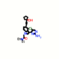 CCN(CC)C(=O)Cn1cc(-c2nc(N)ncc2Cl)c2cc(C#CC3(O)CCCC3)ccc21